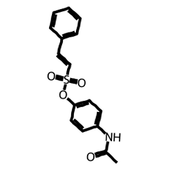 CC(=O)Nc1ccc(OS(=O)(=O)/C=C/c2ccccc2)cc1